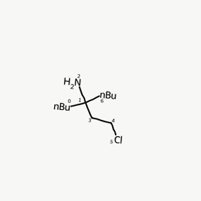 CCCCC(N)(CCCl)CCCC